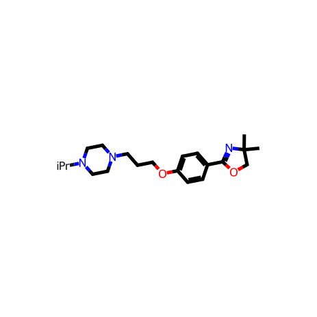 CC(C)N1CCN(CCCOc2ccc(C3=NC(C)(C)CO3)cc2)CC1